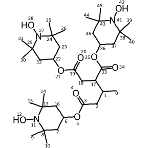 CC(CC(=O)OC1CC(C)(C)N(O)C(C)(C)C1)C(CC(=O)OC1CC(C)(C)N(O)C(C)(C)C1)C(=O)OC1CC(C)(C)N(O)C(C)(C)C1